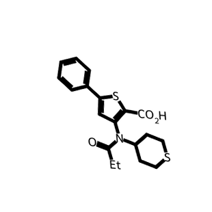 CCC(=O)N(c1cc(-c2ccccc2)sc1C(=O)O)C1CCSCC1